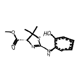 COC(=O)[C@H]1N=C(Nc2ccccc2O)SC1(C)C